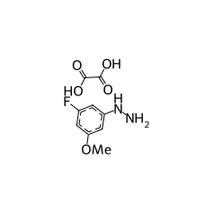 COc1cc(F)cc(NN)c1.O=C(O)C(=O)O